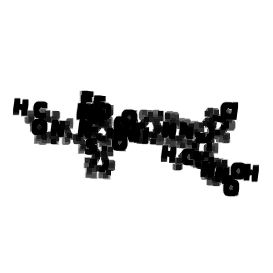 CC1CN(CCC(CSc2ccccc2)Nc2ccc(S(=O)(=O)NC(=O)c3ccc(N4CCN(CC5=C(c6ccc(Cl)cc6)CC[C@@](C)(CN6CCN(C(=O)O)CC6)C5)CC4)cc3)cc2S(=O)(=O)C(F)(F)F)CCO1